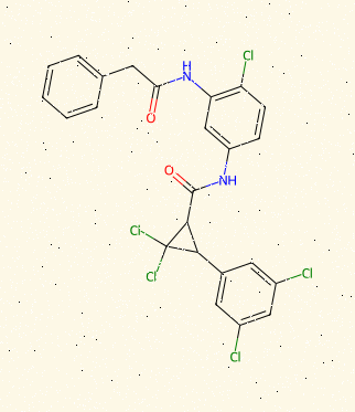 O=C(Cc1ccccc1)Nc1cc(NC(=O)C2C(c3cc(Cl)cc(Cl)c3)C2(Cl)Cl)ccc1Cl